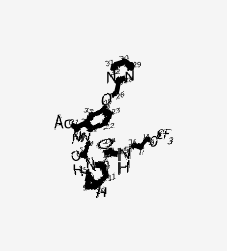 CC(=O)c1nn(CC(=O)N2[C@@H]3C[C@@H]3C[C@H]2C(=O)NCCCOC(F)(F)F)c2ccc(OCc3ncccn3)cc12